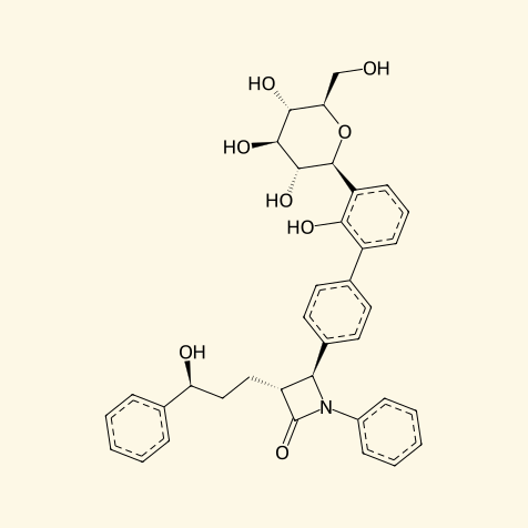 O=C1[C@H](CC[C@H](O)c2ccccc2)[C@@H](c2ccc(-c3cccc([C@@H]4O[C@H](CO)[C@@H](O)[C@H](O)[C@H]4O)c3O)cc2)N1c1ccccc1